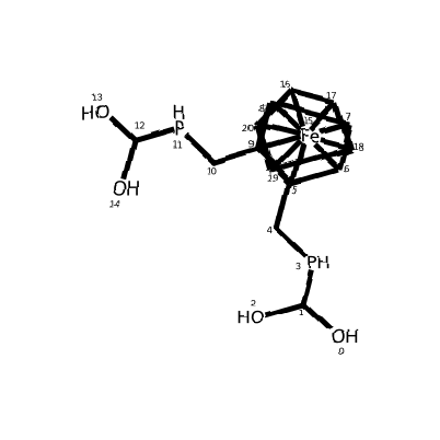 OC(O)PC[C]12[CH]3[CH]4[CH]5[C]1(CPC(O)O)[Fe]43521678[CH]2[CH]1[CH]6[CH]7[CH]28